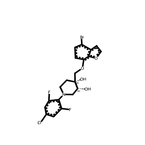 O[C@@H]1CN(c2c(F)cc(Cl)cc2F)CC[C@@]1(O)COc1ccc(Br)c2ccoc12